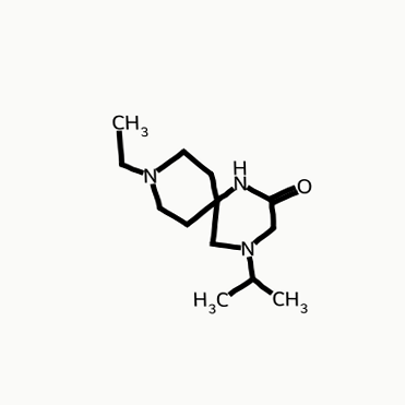 CCN1CCC2(CC1)CN(C(C)C)CC(=O)N2